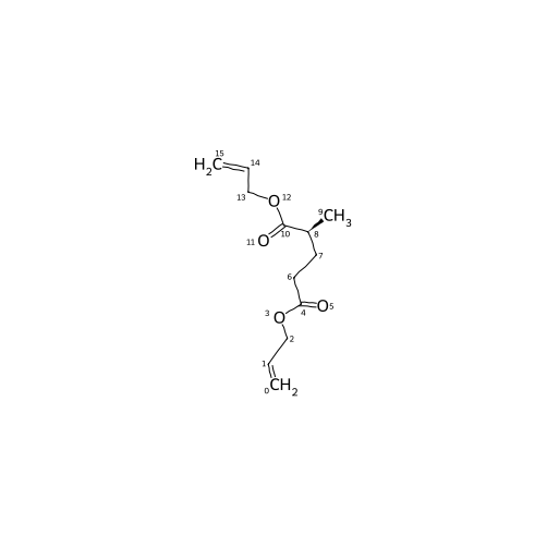 C=CCOC(=O)CC[C@H](C)C(=O)OCC=C